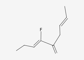 C=C(C/C=C/C)/C(F)=C/CC